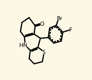 O=C1CCCC2=C1C(c1ccc(F)c(Br)c1)C1=C(CCCS1)N2